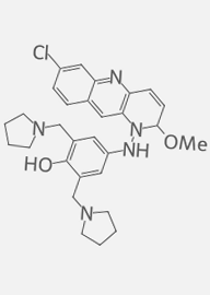 COC1C=Cc2nc3cc(Cl)ccc3cc2N1Nc1cc(CN2CCCC2)c(O)c(CN2CCCC2)c1